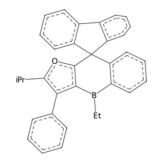 CCB1c2ccccc2C2(c3ccccc3-c3ccccc32)c2oc(C(C)C)c(-c3ccccc3)c21